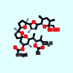 CCCCCCCC(=O)O[C@H]1C[C@]2(CC[C@@](C)([C@H]3CC[C@@](C)(C4O[C@@H]([C@H]5O[C@@](O)(CO)[C@H](C)C[C@@H]5C)C[C@@H]4C)O3)O2)O[C@H]([C@@H](C)[C@@H](OC(=O)CC)[C@@H](C)C(=O)O)[C@@H]1C